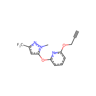 C#CCOc1cccc(Oc2cc(C(F)(F)F)nn2C)n1